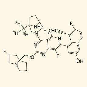 [2H]C([2H])([2H])C12CCC(CN(c3nc(OC[C@@]45CCCN4C[C@H](F)C5)nc4c(F)c(-c5cc(O)cc6ccc(F)c(C#C)c56)nc(C)c34)C1)N2